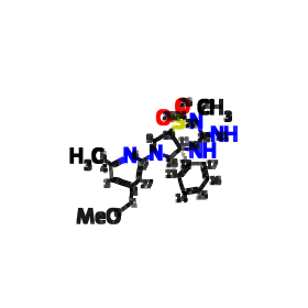 COCc1cc(C)nc(N2CC3[C@](c4ccccc4)(C2)NC(=N)N(C)S3(=O)=O)c1